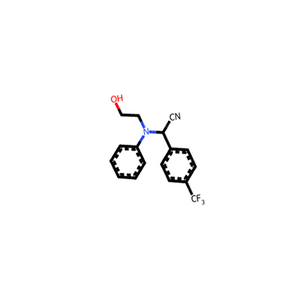 N#CC(c1ccc(C(F)(F)F)cc1)N(CCO)c1ccccc1